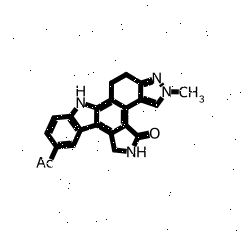 CC(=O)c1ccc2[nH]c3c4c(c5c(c3c2c1)CNC5=O)-c1cn(C)nc1CC4